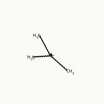 CCCCCCCCCCCCCCCCCC[n+]1ccn(CCCCCCCCCCCCCCCCC)c1CCCCCCCCCCCCCCC